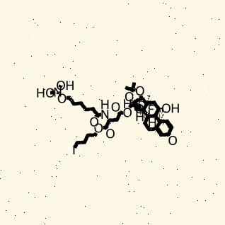 CC1(C)O[C@@H]2C[C@H]3[C@@H]4CCC5=CC(=O)C=C[C@]5(C)[C@@]4(F)[C@@H](O)C[C@]3(C)[C@]2(C(=O)COC(=O)CC(NC(=O)CCCCCON(O)O)C(=O)OCCCCI)O1